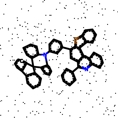 c1ccc(-c2nc3ccccc3c3c2cc(-c2cccc(N4c5ccccc5C5(c6ccccc6-c6ccccc65)c5ccccc54)c2)c2sc4ccccc4c23)cc1